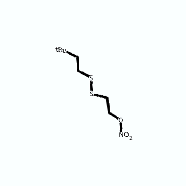 CC(C)(C)CCSSCCO[N+](=O)[O-]